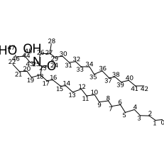 CCCCCCCCCCCCCCCCCCC(CCCC)C(=O)N(CC(C)CCCCCCCCCCCCCC)CC(O)CO